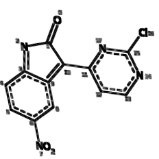 O=C1N=c2ccc([N+](=O)[O-])cc2=C1c1ccnc(Cl)n1